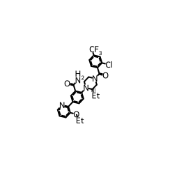 CCOc1cccnc1-c1ccc(N2CCN(C(=O)c3ccc(C(F)(F)F)cc3Cl)C[C@H]2CC)c(C(N)=O)c1